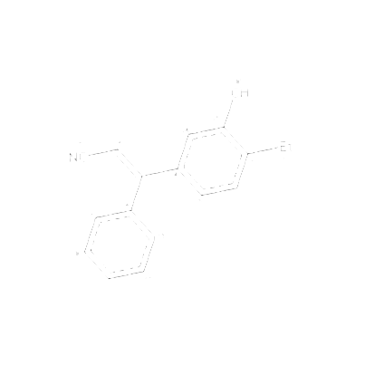 CCc1ccc(C(=CC#N)c2ccccc2)cc1C